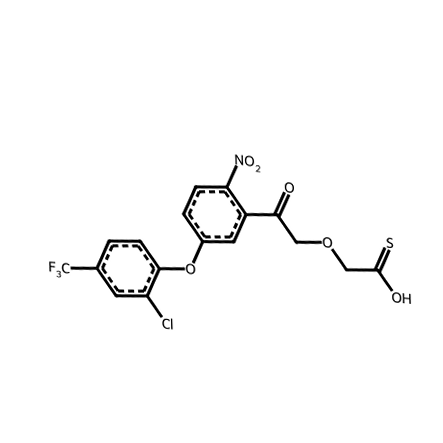 O=C(COCC(O)=S)c1cc(Oc2ccc(C(F)(F)F)cc2Cl)ccc1[N+](=O)[O-]